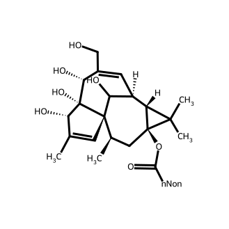 CCCCCCCCCC(=O)O[C@@]12C[C@@H](C)[C@]34C=C(C)[C@H](O)[C@@]3(O)[C@H](O)C(CO)=C[C@H](C4O)[C@@H]1C2(C)C